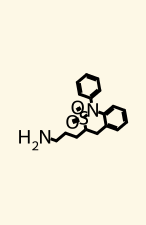 NCCCC1Cc2ccccc2N(c2ccccc2)S1(=O)=O